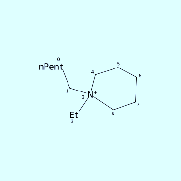 CCCCCC[N+]1(CC)CCCCC1